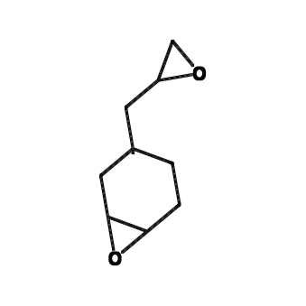 C1CC2OC2C[C]1CC1CO1